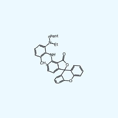 CCCCCN(CC)c1cccc(C)c1Nc1cccc2c1C(=O)OC21c2ccccc2Oc2ccccc21